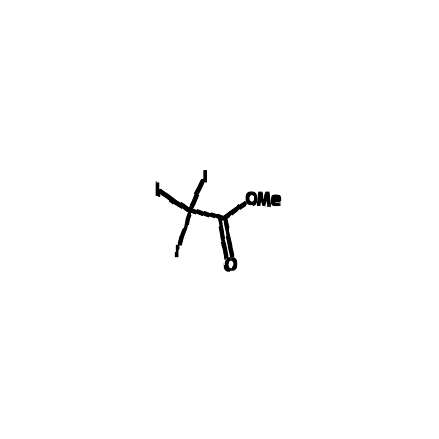 COC(=O)C(I)(I)I